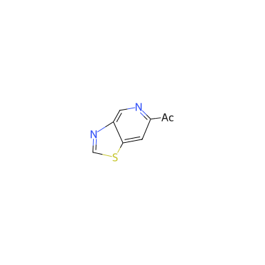 CC(=O)c1cc2scnc2cn1